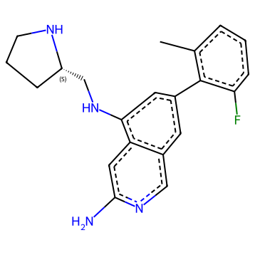 Cc1cccc(F)c1-c1cc(NC[C@@H]2CCCN2)c2cc(N)ncc2c1